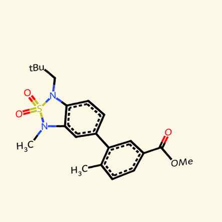 COC(=O)c1ccc(C)c(-c2ccc3c(c2)N(C)S(=O)(=O)N3CC(C)(C)C)c1